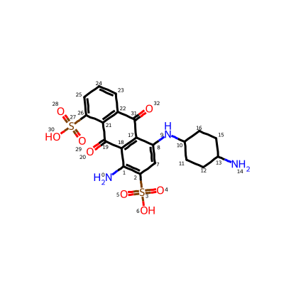 Nc1c(S(=O)(=O)O)cc(NC2CCC(N)CC2)c2c1C(=O)c1c(cccc1S(=O)(=O)O)C2=O